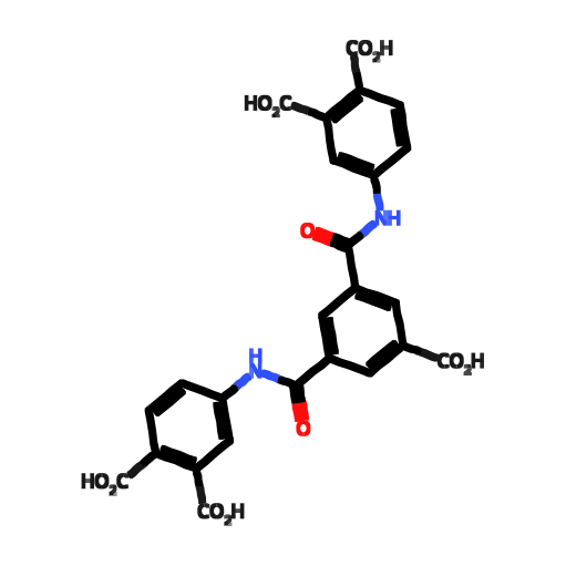 O=C(O)c1cc(C(=O)Nc2ccc(C(=O)O)c(C(=O)O)c2)cc(C(=O)Nc2ccc(C(=O)O)c(C(=O)O)c2)c1